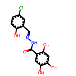 O=C(N/N=C/c1cc(Cl)ccc1O)c1cc(O)c(O)cc1O